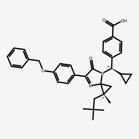 CC(C)(C)C[C@@]1(C)CC12N=C(c1ccc(OCc3ccccc3)cc1)C(=O)N2[C@@H](c1ccc(C(=O)O)cc1)C1CC1